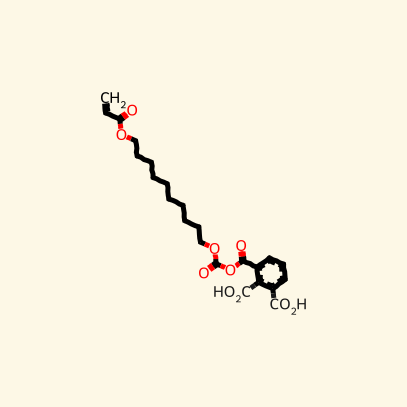 C=CC(=O)OCCCCCCCCCCOC(=O)OC(=O)c1cccc(C(=O)O)c1C(=O)O